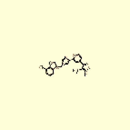 FC(F)(F)c1[nH]nnc1-c1ccnc(-c2cn(C[C@@H]3COc4c(Cl)cccc43)cn2)c1